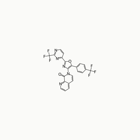 O=c1c2ncccc2ccn1-c1nc(-c2ccnc(C(F)(F)F)n2)oc1-c1ccc(C(F)(F)F)cc1